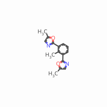 Cc1cnc(-c2cccc(-c3ncc(C)o3)c2C)o1